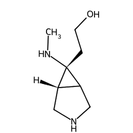 CN[C@]1(CCO)C2CNC[C@@H]21